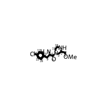 COCC1CN(C(=O)C(N)Cc2ccc(Cl)cc2)CCN1